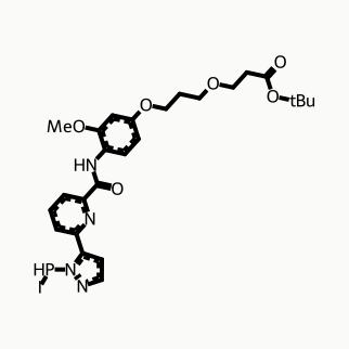 COc1cc(OCCCOCCC(=O)OC(C)(C)C)ccc1NC(=O)c1cccc(-c2ccnn2PI)n1